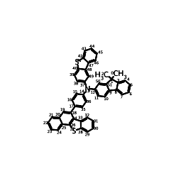 CC1(C)c2ccccc2-c2ccc(N(c3ccc(-c4cc5ccccc5c5sc6ccccc6c45)cc3)c3ccc4sc5ccccc5c4c3)cc21